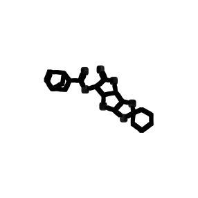 O=C(OC1C(=O)OC2C3OC4(CCCCC4)OC3OC12)C1CC2C=CC1C2